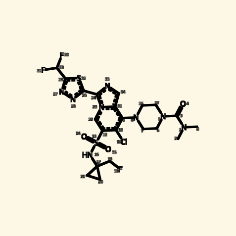 CN(C)C(=O)N1CCN(c2c(Cl)c(S(=O)(=O)NC3(CF)CC3)cn3c(-c4nnc(C(F)F)s4)ncc23)CC1